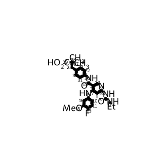 CCNC(=O)Nc1cc(Nc2ccc(F)c(OC)c2)c(C(=O)Nc2ccc(CC(C)(C)C(=O)O)cc2)cn1